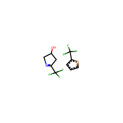 FC(F)(F)c1cccs1.OC1CN=C(C(F)(F)F)C1